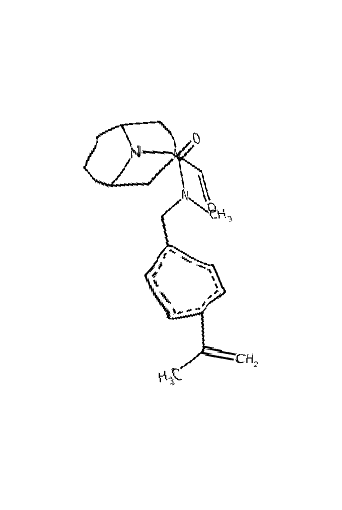 C=C(C)c1ccc(CN(C)C(=O)N2C3CCC2CN(C=O)C3)cc1